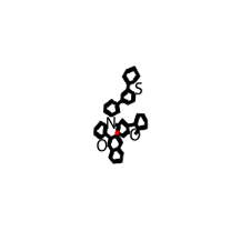 c1cc(-c2ccc3sc4ccccc4c3c2)cc(N(c2ccc3oc4ccccc4c3c2)c2cccc3oc4c5ccccc5ccc4c23)c1